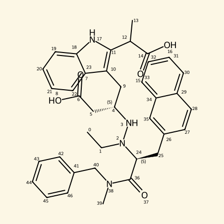 CCN(N[C@H](CC(=O)O)Cc1c(C(C)C(=O)O)[nH]c2ccccc12)[C@@H](Cc1ccc2ccccc2c1)C(=O)N(C)Cc1ccccc1